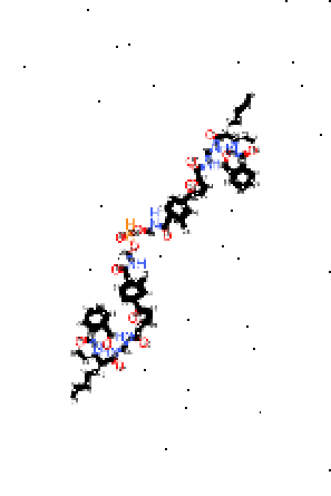 CCCCC[C@@H](C(=O)NCNC(=O)c1ccc(-c2ccc(C(=O)NCO[PH](=O)OCNC(=O)c3ccc(-c4ccc(C(=O)NCNC(=O)[C@H](CCCCC)[C@@H](CC)N(C=O)OCc5ccccc5)o4)cc3C)c(C)c2)o1)[C@@H](CC)N(C=O)OCc1ccccc1